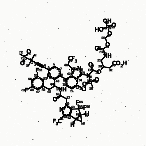 CC(C)(C#Cc1ccc(-c2ccc(Cl)c3c(N(C(=O)OC(CNC(=O)OCOP(=O)(O)O)CC(=O)O)S(C)(=O)=O)nn(CC(F)(F)F)c23)c(C(Cc2cc(F)cc(F)c2)NC(=O)Cn2nc(C(F)(F)F)c3c2C(F)(F)[C@@H]2C[C@H]32)n1)S(C)(=O)=O